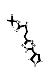 C[C@@H](CCc1nnc(-c2ccoc2)nn1)C(=O)OC(C)(C)C